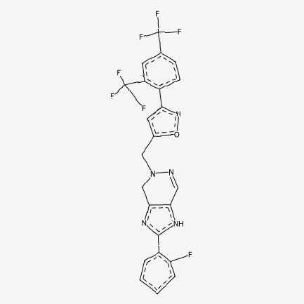 Fc1ccccc1-c1nc2c([nH]1)C=NN(Cc1cc(-c3ccc(C(F)(F)F)cc3C(F)(F)F)no1)C2